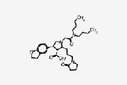 CCCCN(CCCC)C(=O)CN1C[C@H](c2ccc3c(c2)CCO3)[C@@H](C(=O)O)[C@@H]1CCCN1CCCC1=O